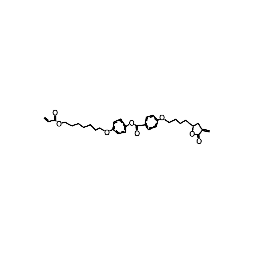 C=CC(=O)OCCCCCCCOc1ccc(OC(=O)c2ccc(OCCCCC3CC(=C)C(=O)O3)cc2)cc1